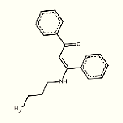 CCCCN/C(=C/C(=O)c1ccccc1)c1ccccc1